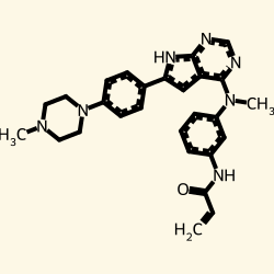 C=CC(=O)Nc1cccc(N(C)c2ncnc3[nH]c(-c4ccc(N5CCN(C)CC5)cc4)cc23)c1